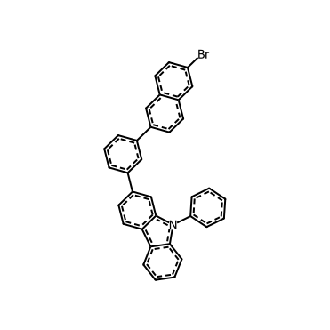 Brc1ccc2cc(-c3cccc(-c4ccc5c6ccccc6n(-c6ccccc6)c5c4)c3)ccc2c1